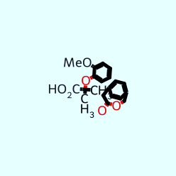 COc1ccccc1OC(C)(C)C(=O)O.O=C1Cc2ccc(cc2)CO1